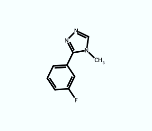 Cn1cnnc1-c1cccc(F)c1